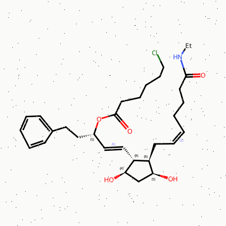 CCNC(=O)CCC/C=C\C[C@@H]1[C@@H](/C=C/[C@H](CCc2ccccc2)OC(=O)CCCCCCl)[C@H](O)C[C@@H]1O